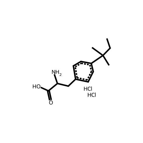 CCC(C)(C)c1ccc(CC(N)C(=O)O)cc1.Cl.Cl